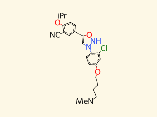 CNCCCCOc1ccc(N2C=C(c3ccc(OC(C)C)c(C#N)c3)ON2)c(Cl)c1